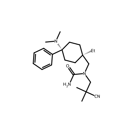 CC[C@]1(CN(CC(C)(C)C#N)C(N)=O)CC[C@](c2ccccc2)(N(C)C)CC1